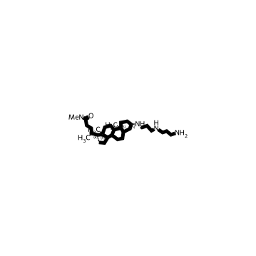 CNC(=O)CC[C@@H](C)[C@H]1CCC2C3CCC4C[C@@H](NCCCNCCCN)CC[C@]4(C)C3CC[C@@]21C